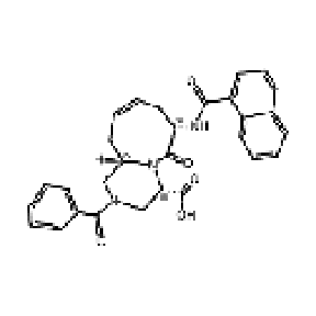 O=C(N[C@H]1CC=CC[C@H]2CN(C(=O)c3ccccc3)C[C@@H](C(=O)O)N2C1=O)c1cccc2ccccc12